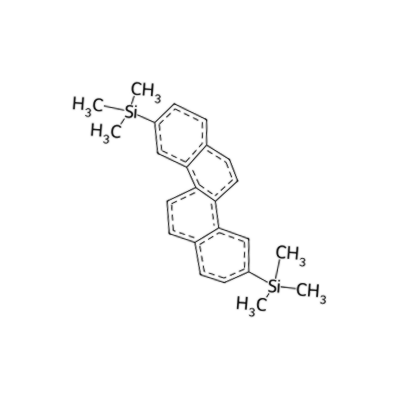 C[Si](C)(C)c1ccc2ccc3c4cc([Si](C)(C)C)ccc4ccc3c2c1